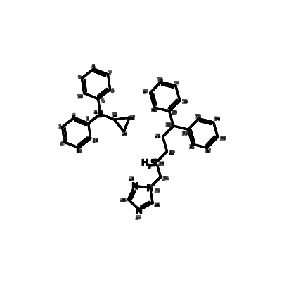 c1ccc(B(c2ccccc2)C2CC2)cc1.c1ccc(C(CC[SiH2]Cn2cncn2)c2ccccc2)cc1